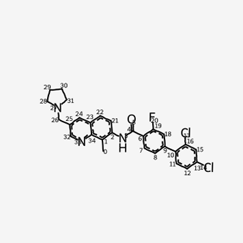 Cc1c(NC(=O)c2ccc(-c3ccc(Cl)cc3Cl)cc2F)ccc2cc(CN3CCCC3)cnc12